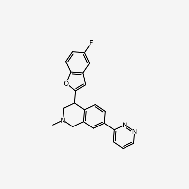 CN1Cc2cc(-c3cccnn3)ccc2C(c2cc3cc(F)ccc3o2)C1